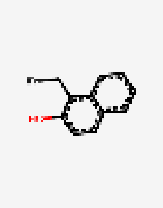 CC(C)Cc1c(O)ccc2ccccc12